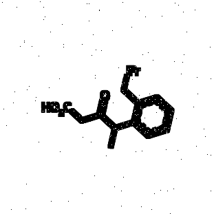 CC(C)Cc1ccccc1C(C)C(=O)CC(=O)O